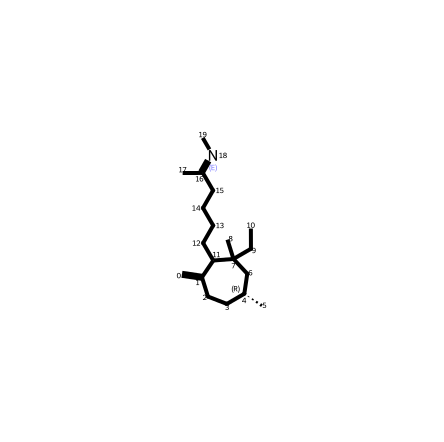 C=C1CC[C@@H](C)CC(C)(CC)C1CCCC/C(C)=N/C